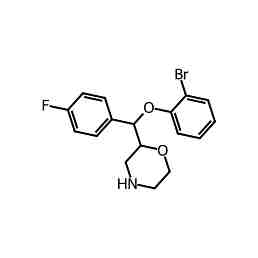 Fc1ccc(C(Oc2ccccc2Br)C2CNCCO2)cc1